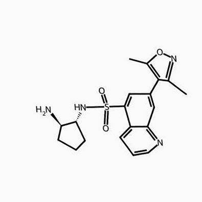 Cc1noc(C)c1-c1cc(S(=O)(=O)N[C@@H]2CCC[C@H]2N)c2cccnc2c1